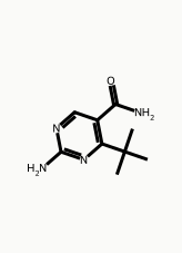 CC(C)(C)c1nc(N)ncc1C(N)=O